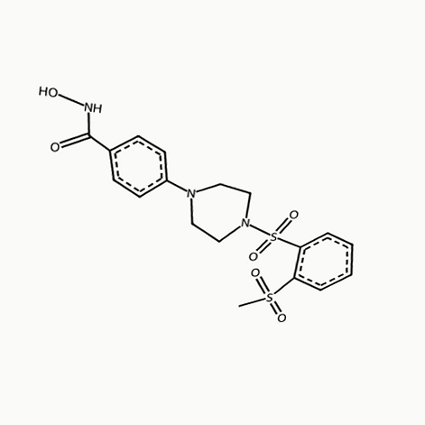 CS(=O)(=O)c1ccccc1S(=O)(=O)N1CCN(c2ccc(C(=O)NO)cc2)CC1